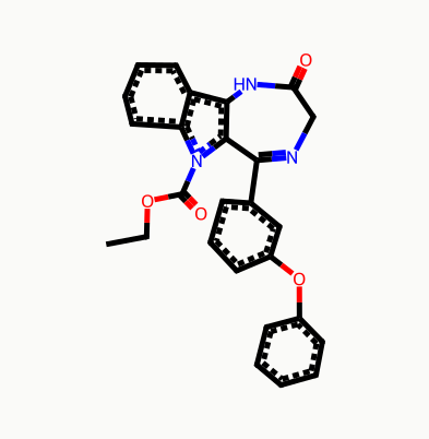 CCOC(=O)n1c2c(c3ccccc31)NC(=O)CN=C2c1cccc(Oc2ccccc2)c1